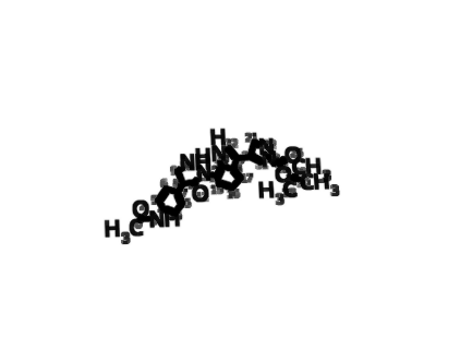 CC(=O)Nc1ccc(C(CN)C(=O)Nc2cccc3c(-c4cnn(C(=O)OC(C)(C)C)c4)c[nH]c23)cc1